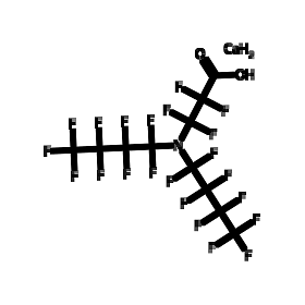 O=C(O)C(F)(F)C(F)(F)N(C(F)(F)C(F)(F)C(F)(F)C(F)(F)F)C(F)(F)C(F)(F)C(F)(F)C(F)(F)F.[CaH2]